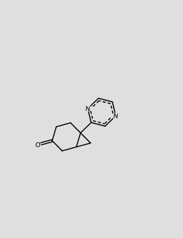 O=C1CCC2(c3cnccn3)CC2C1